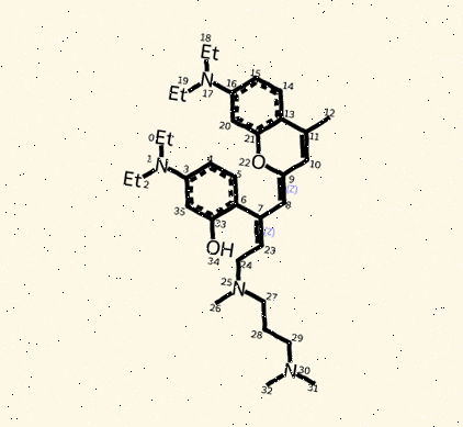 CCN(CC)c1ccc(C(/C=C2/C=C(C)c3ccc(N(CC)CC)cc3O2)=C\CN(C)CCCN(C)C)c(O)c1